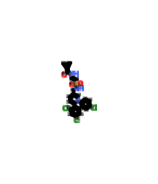 O=C(NCCS(=O)(=O)NC[C@@H]1CC[C@@H](c2ccc(Cl)cc2Cl)N(c2ccc(Cl)cc2)C1)C1CC1